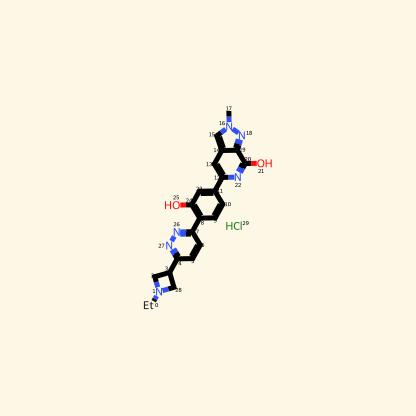 CCN1CC(c2ccc(-c3ccc(-c4cc5cn(C)nc5c(O)n4)cc3O)nn2)C1.Cl